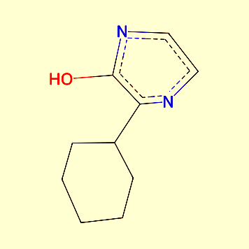 Oc1nccnc1C1CCCCC1